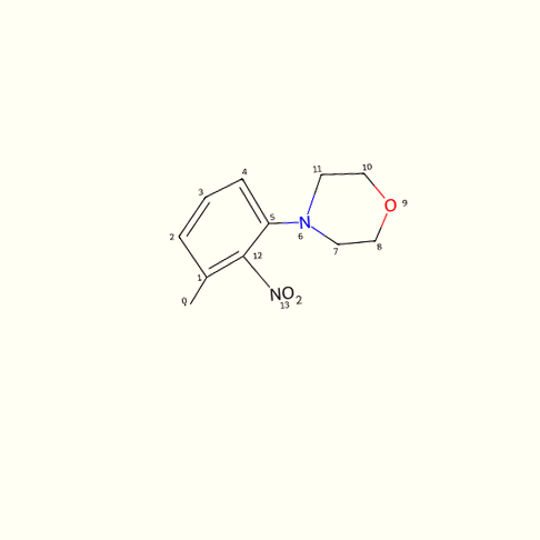 [CH2]c1cccc(N2CCOCC2)c1[N+](=O)[O-]